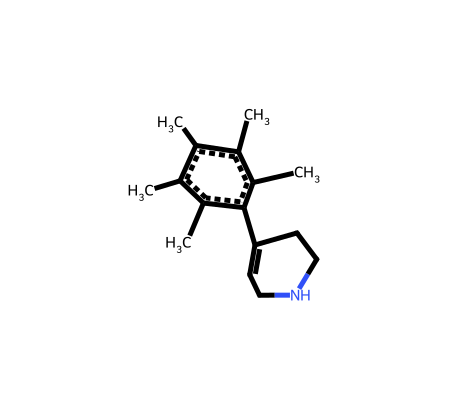 Cc1c(C)c(C)c(C2=CCNCC2)c(C)c1C